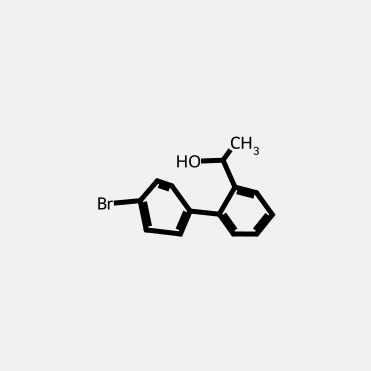 CC(O)c1ccccc1-c1ccc(Br)cc1